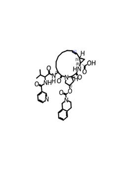 CC(C)C(NC(=O)c1cccnc1)C(=O)N[C@H]1CCCCC/C=C\[C@@H]2C[C@@]2(C(=O)O)NC(=O)[C@@H]2C[C@@H](OC(=O)N3CCc4ccccc4C3)CN2C1=O